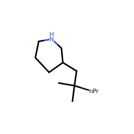 CCCC(C)(C)CC1CCCNC1